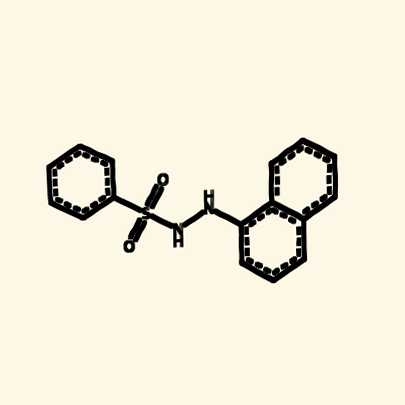 O=S(=O)(NNc1cccc2ccccc12)c1ccccc1